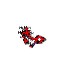 CO[C@@H](/C(C)=C/C=C/C(C)=C/c1coc(C)n1)[C@@H](C)[C@@H]1C[C@H](O[Si](C)(C)CCCS(=O)(=O)CCSCC(CC(=O)C(CC(=O)O)NC(=O)C(CCCNC(=N)N)CC(=O)CCC(NC(=O)c2ccc(NCc3cnc4nc(N)[nH]c(=O)c4n3)cc2)C(=O)O)C(=O)O)[C@@]2(C)O[C@@H]2/C=C/[C@@H](C)[C@H]2C[C@H](CC(=O)O2)C[C@@H]2O[C@H]2C(=O)O1